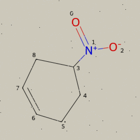 O=[N+]([O-])C1C[CH]C=CC1